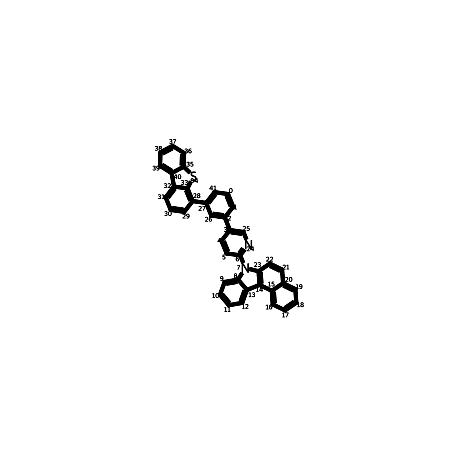 c1cc(-c2ccc(-n3c4ccccc4c4c5ccccc5ccc43)nc2)cc(-c2cccc3c2sc2ccccc23)c1